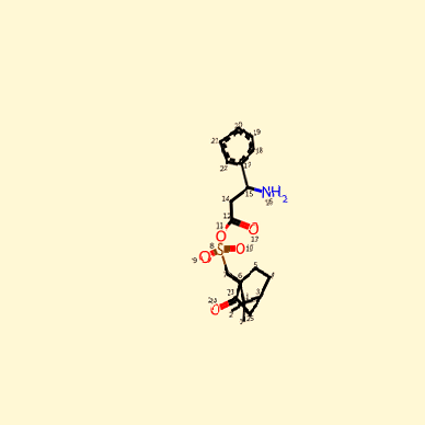 CC1(C)C2CCC1(CS(=O)(=O)OC(=O)CC(N)c1ccccc1)C(=O)C2